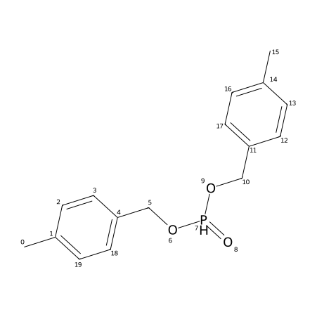 Cc1ccc(CO[PH](=O)OCc2ccc(C)cc2)cc1